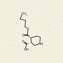 CCCCOC(=O)[C@H]1CCNC[C@@H]1C(=O)O